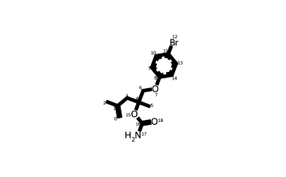 C=C(C)CC(C)(COc1ccc(Br)cc1)OC(N)=O